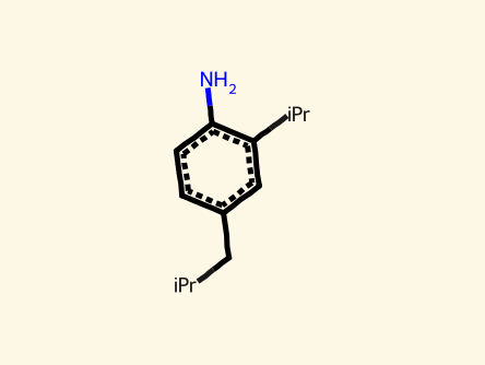 CC(C)Cc1ccc(N)c(C(C)C)c1